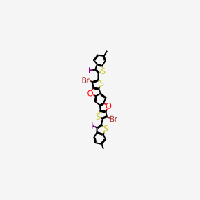 Cc1ccc2c(I)c(-c3sc4c(oc5cc6c(cc54)oc4c(Br)c(-c5sc7cc(C)ccc7c5I)sc46)c3Br)sc2c1